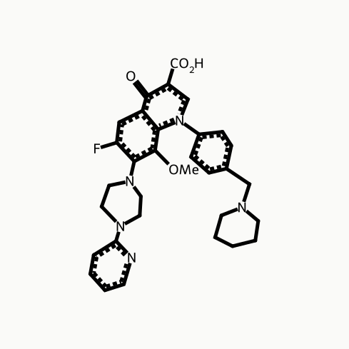 COc1c(N2CCN(c3ccccn3)CC2)c(F)cc2c(=O)c(C(=O)O)cn(-c3ccc(CN4CCCCC4)cc3)c12